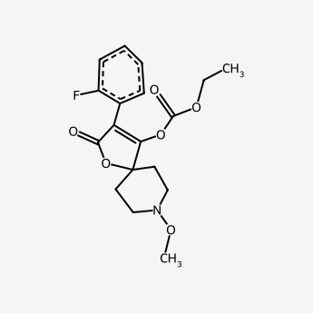 CCOC(=O)OC1=C(c2ccccc2F)C(=O)OC12CCN(OC)CC2